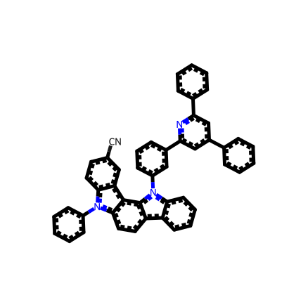 N#Cc1ccc2c(c1)c1c(ccc3c4ccccc4n(-c4cccc(-c5cc(-c6ccccc6)cc(-c6ccccc6)n5)c4)c31)n2-c1ccccc1